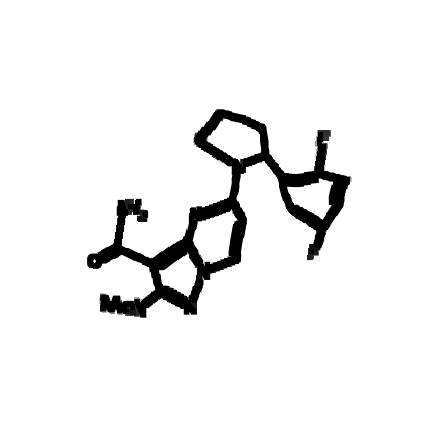 CNc1nn2ccc(N3CCCC3c3cc(F)ccc3F)nc2c1C(N)=O